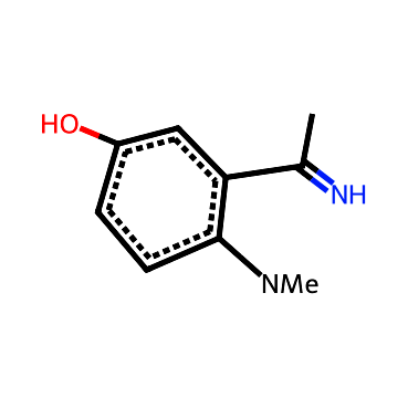 CNc1ccc(O)cc1C(C)=N